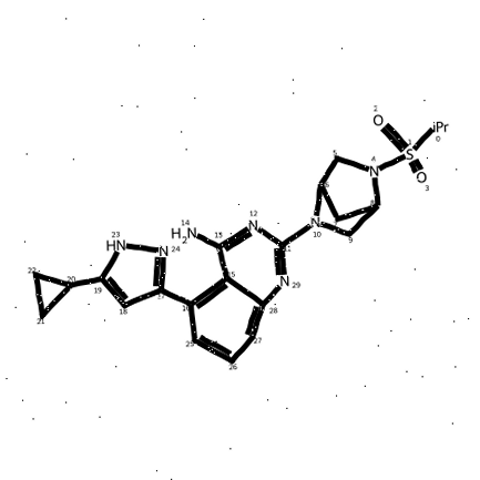 CC(C)S(=O)(=O)N1CC2CC1CN2c1nc(N)c2c(-c3cc(C4CC4)[nH]n3)cccc2n1